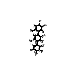 Fc1c(F)c(F)c(-c2c(F)c(Br)c(-c3c(F)c(F)c(F)c(F)c3Br)c(F)c2Br)c(Br)c1F